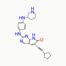 O=c1[nH]c2nc(Nc3ccc(NC4CCCNC4)cc3)ncc2cc1C#CC1CCCC1